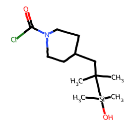 CC(C)(CC1CCN(C(=O)Cl)CC1)[Si](C)(C)O